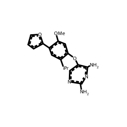 COc1cc(Oc2cnc(N)nc2N)c(C(C)C)cc1-c1ccco1